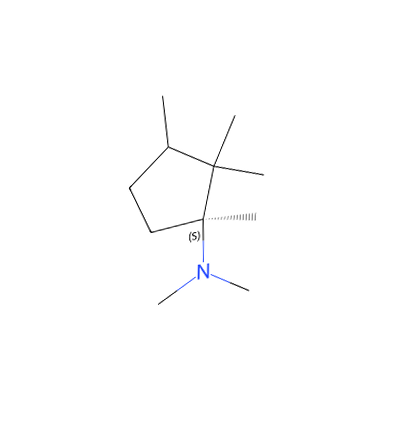 CC1CC[C@](C)(N(C)C)C1(C)C